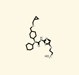 O=C(O)CCSc1cnc(NC(=O)N(C2CCCCC2)C2CCC(COCC3CC3)CC2)s1